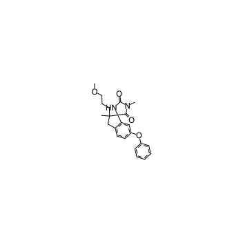 COCCCC1(C)Cc2ccc(Oc3ccccc3)cc2C12NC(=O)N(C)C2=O